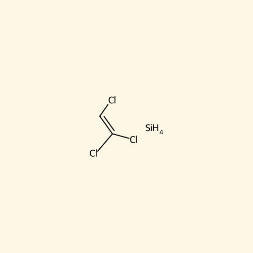 ClC=C(Cl)Cl.[SiH4]